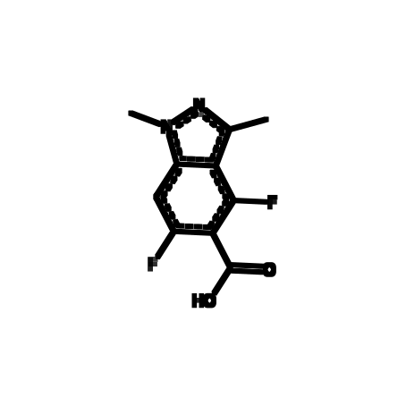 Cc1nn(C)c2cc(F)c(C(=O)O)c(F)c12